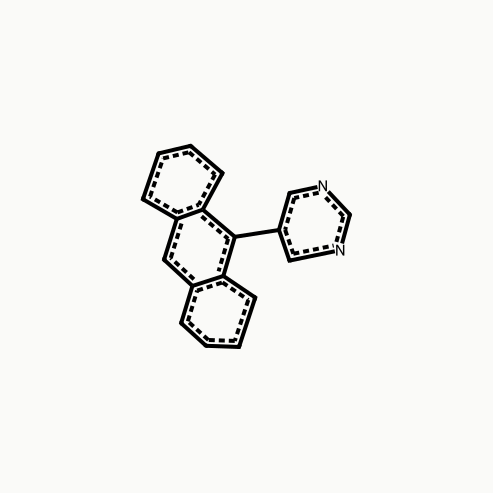 c1ccc2c(-c3cncnc3)c3ccccc3cc2c1